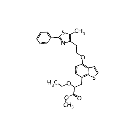 CCOC(Cc1ccc(OCCc2nc(-c3ccccc3)sc2C)c2ccsc12)C(=O)OC